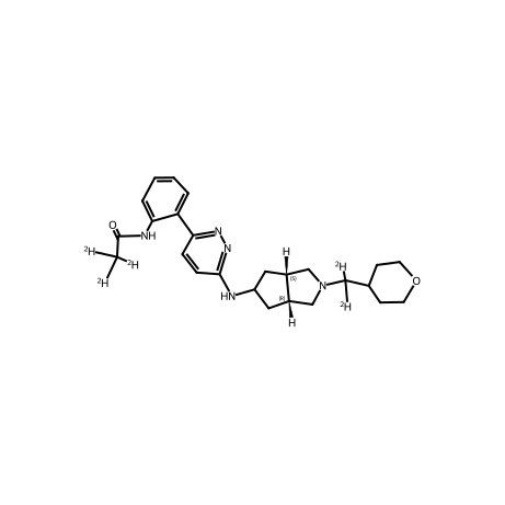 [2H]C([2H])([2H])C(=O)Nc1ccccc1-c1ccc(NC2C[C@@H]3CN(C([2H])([2H])C4CCOCC4)C[C@@H]3C2)nn1